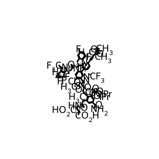 CC(C)OP(=O)(Oc1cc(C(N)=O)cc(CC(=O)N[C@@H](CC(=O)O)C(=O)O)c1C(C)(C)CC(=O)N(c1nn(CC(F)(F)F)c2c(-c3ccc(C#CC(C)(C)S(C)(=O)=O)nc3[C@H](Cc3cc(F)cc(F)c3)NC(=O)Cn3nc(C(F)(F)F)c4c3C(F)(F)[C@@H]3C[C@H]43)ccc(Cl)c12)S(C)(=O)=O)OC(C)C